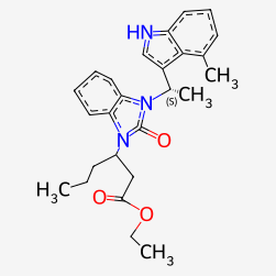 CCCC(CC(=O)OCC)n1c(=O)n([C@@H](C)c2c[nH]c3cccc(C)c23)c2ccccc21